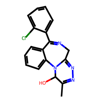 CC1=NN=C2CN=C(c3ccccc3Cl)c3ccccc3N2C1O